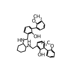 COc1ccccc1-c1cccc(CNC2CCCC[C@@H]2NCc2cccc(-c3ccccc3OC)c2O)c1O